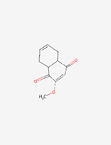 COC1=CC(=O)C2CC=CCC2C1=O